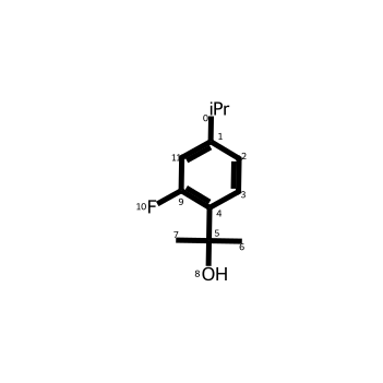 CC(C)c1ccc(C(C)(C)O)c(F)c1